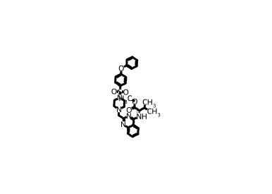 COC(=O)[C@@H](Nc1nc(CN2CCN(S(=O)(=O)c3ccc(Oc4ccccc4)cc3)CC2)nc2ccccc12)C(C)C